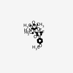 C=CN(CC(=O)N(CC(F)(F)F)c1ccc(OC)cc1)c1c(N)n(C)c(=O)n(C)c1=O